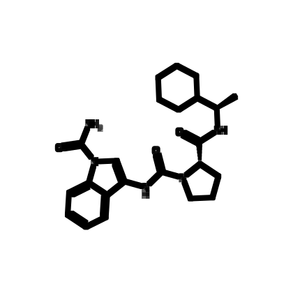 C[C@@H](NC(=O)[C@@H]1CCCN1C(=O)Nc1cn(C(N)=O)c2ccccc12)C1CCCCC1